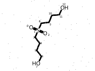 O=S(=O)(CCCCO)CCCCO